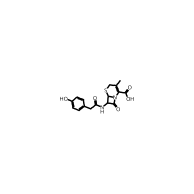 CC1=C(C(=O)O)N2C(=O)C(NC(=O)Cc3ccc(O)cc3)C2SC1